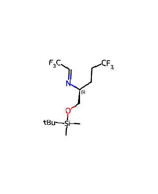 CC(C)(C)[Si](C)(C)OC[C@H](CCC(F)(F)F)N=CC(F)(F)F